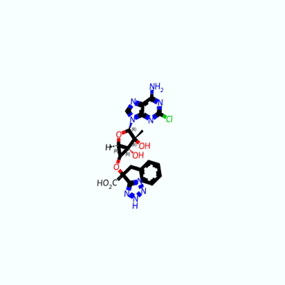 C[C@]1(O)[C@H](n2cnc3c(N)nc(Cl)nc32)O[C@@H]2C(OC(Cc3ccccc3)(C(=O)O)c3nn[nH]n3)[C@@]21O